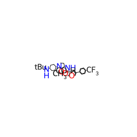 CC(C)(C)N[C@@H]1CC[C@H](N2CC[C@H](NC(=O)c3cc(-c4ccc(C(F)(F)F)cc4)co3)C2=O)[C@](C)(C(=O)O)C1